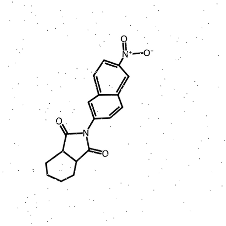 O=C1C2CCCCC2C(=O)N1c1ccc2cc([N+](=O)[O-])ccc2c1